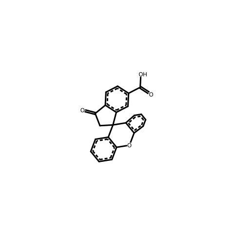 O=C(O)c1ccc2c(c1)C1(CC2=O)c2ccccc2Oc2ccccc21